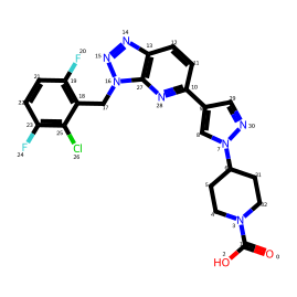 O=C(O)N1CCC(n2cc(-c3ccc4nnn(Cc5c(F)ccc(F)c5Cl)c4n3)cn2)CC1